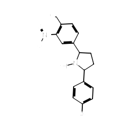 [2H]N1C(c2ccc(Br)cc2)CCC1c1ccc(Cl)c([N+](=O)[O-])c1